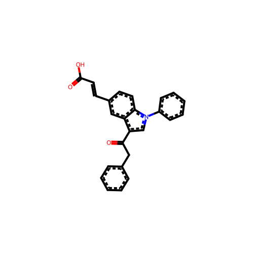 O=C(O)C=Cc1ccc2c(c1)c(C(=O)Cc1ccccc1)cn2-c1ccccc1